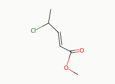 COC(=O)C=CC(C)Cl